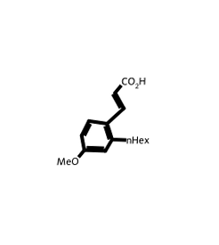 CCCCCCc1cc(OC)ccc1/C=C/C(=O)O